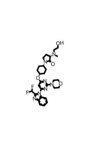 CN(CCO)[C@H]1CCN([C@H]2CC[C@H](Oc3cc(-n4c(C(F)F)nc5ccccc54)nc(N4CCOCC4)n3)CC2)C1=O